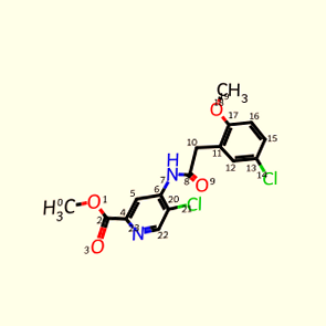 COC(=O)c1cc(NC(=O)Cc2cc(Cl)ccc2OC)c(Cl)cn1